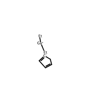 C[CH2][Ga+][CH2]C.[C-]1=CC=CC1